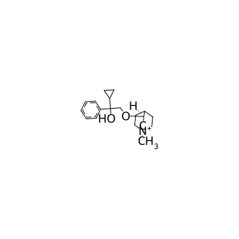 C[N+]12CCC(CC1)[C@H](OCC(O)(c1ccccc1)C1CC1)C2